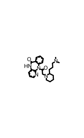 CN(C)CCCC1CCCCN1CC(=O)N1c2ccccc2C(=O)Nc2cccnc21